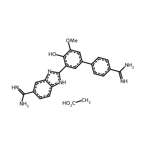 CC(=O)O.COc1cc(-c2ccc(C(=N)N)cc2)cc(-c2nc3cc(C(=N)N)ccc3[nH]2)c1O